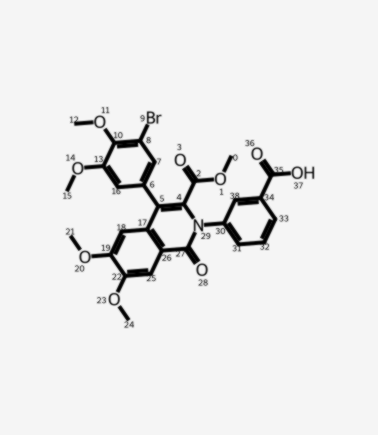 COC(=O)c1c(-c2cc(Br)c(OC)c(OC)c2)c2cc(OC)c(OC)cc2c(=O)n1-c1cccc(C(=O)O)c1